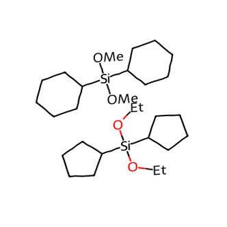 CCO[Si](OCC)(C1CCCC1)C1CCCC1.CO[Si](OC)(C1CCCCC1)C1CCCCC1